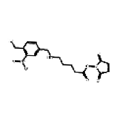 O=C(CCCCNCc1ccc(CO)c([N+](=O)[O-])c1)ON1C(=O)CCC1=O